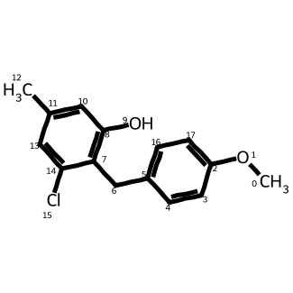 COc1ccc(Cc2c(O)cc(C)cc2Cl)cc1